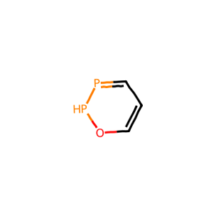 C1=COPP=C1